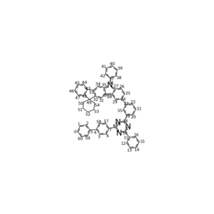 c1ccc(-c2ccc(-c3nc(-c4ccccc4)nc(-c4cccc(-c5ccc6c(c5)c5cc7c(cc5n6-c5ccccc5)-c5ccccc5C75CCCCC5)c4)n3)cc2)cc1